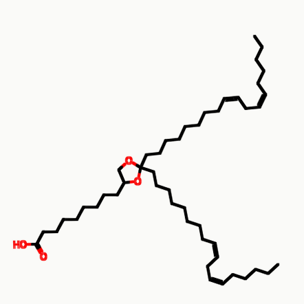 CCCCC/C=C\C/C=C\CCCCCCCCC1(CCCCCCCC/C=C\C/C=C\CCCCC)OCC(CCCCCCCCC(=O)O)O1